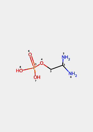 NC(N)COP(=O)(O)O